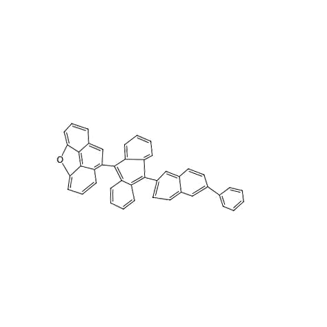 c1ccc(-c2ccc3cc(-c4c5ccccc5c(-c5cc6cccc7oc8cccc5c8c67)c5ccccc45)ccc3c2)cc1